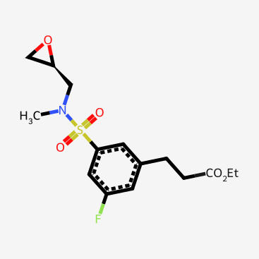 CCOC(=O)CCc1cc(F)cc(S(=O)(=O)N(C)C[C@H]2CO2)c1